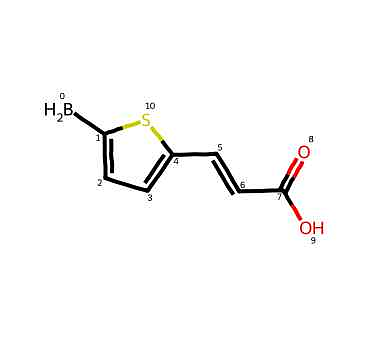 Bc1ccc(/C=C/C(=O)O)s1